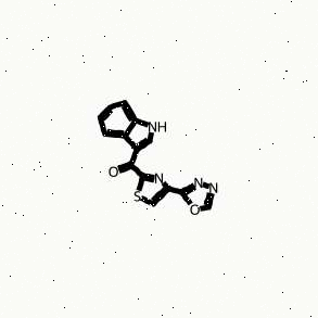 O=C(c1nc(-c2nnco2)cs1)c1c[nH]c2ccccc12